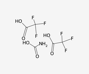 NC(=O)O.O=C(O)C(F)(F)F.O=C(O)C(F)(F)F